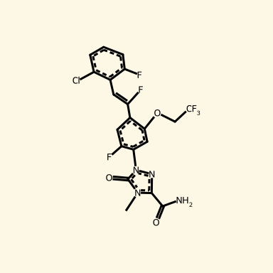 Cn1c(C(N)=O)nn(-c2cc(OCC(F)(F)F)c(/C(F)=C/c3c(F)cccc3Cl)cc2F)c1=O